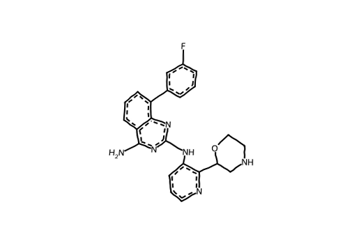 Nc1nc(Nc2cccnc2C2CNCCO2)nc2c(-c3cccc(F)c3)cccc12